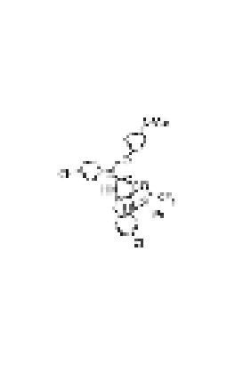 COc1ccc(OC[C@@H](C(=O)N[C@@H](Cc2ccc(Cl)cc2)C(=O)N[C@H](C(=O)C(F)(F)F)C(C)C)c2ccc(Cl)cc2)cc1